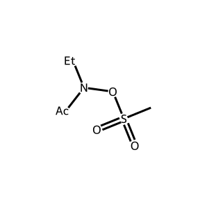 CCN(OS(C)(=O)=O)C(C)=O